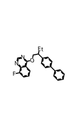 CCC(COc1ncnc2c(F)cccc12)c1ccc(-c2ccccc2)cc1